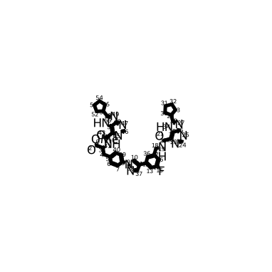 COC(=O)C(Cc1ccc(-n2cc(-c3cc(F)cc(CNC(=O)c4ncnc5nc(C6CCCC6)[nH]c45)c3)cn2)cc1)NC(=O)c1ncnc2nc(C3CCCC3)[nH]c12